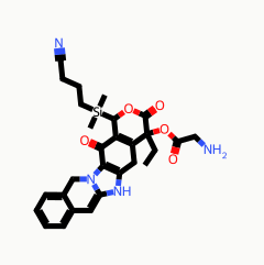 CCC1(OC(=O)CN)C(=O)OC([Si](C)(C)CCCC#N)C2=C1CC1=C(C2=O)N2Cc3ccccc3C=C2N1